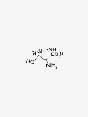 NC(CO)C(=O)O.[N-]=[N+]=N